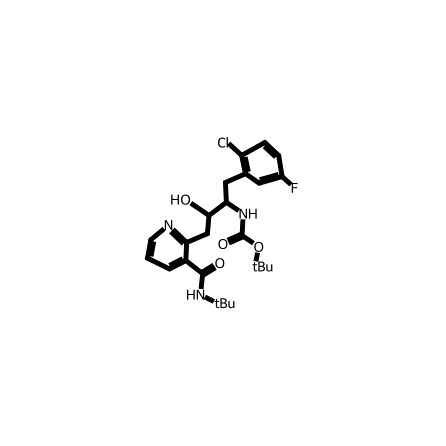 CC(C)(C)NC(=O)c1cccnc1CC(O)C(Cc1cc(F)ccc1Cl)NC(=O)OC(C)(C)C